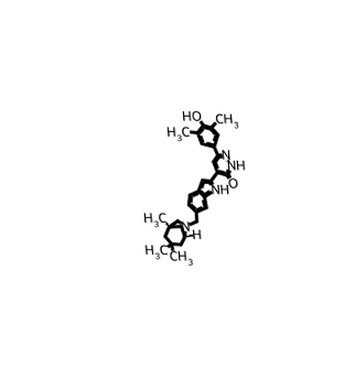 Cc1cc(-c2cc(-c3cc4ccc(CN5C[C@]6(C)C[C@H]5CC(C)(C)C6)cc4[nH]3)c(=O)[nH]n2)cc(C)c1O